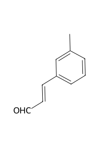 Cc1cccc(/C=C/C=O)c1